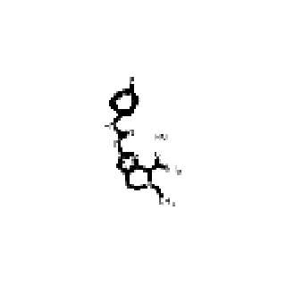 CCN1CCc2cc(NC(=O)Nc3ccc(F)cc3)sc2C1C(N)=O.Cl